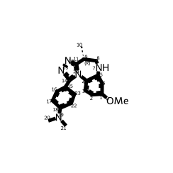 COc1ccc2c(c1)NC[C@@H](C)c1nnc(-c3ccc(N(C)C)cc3)n1-2